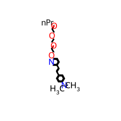 CCCOCCOCCOCCOc1ccc(/C=C/c2ccc(N(C)C)cc2)cn1